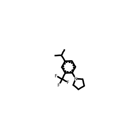 CC(C)c1ccc(N2CCCC2)c(C(F)(F)F)c1